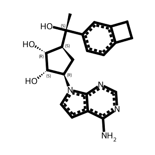 C[C@@](O)(c1ccc2c(c1)CC2)[C@H]1C[C@@H](n2ccc3c(N)ncnc32)[C@H](O)[C@@H]1O